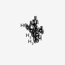 Cn1nc(NS(C)(=O)=O)c2c(Cl)ccc(-n3c([C@H](Cc4cc(F)cc(F)c4)NC(=O)Cn4nc(C(F)F)c([C@H]5C[C@H]5CF)c4CF)nc4cc(N5CCC(O)CC5)ccc4c3=O)c21